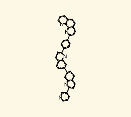 c1cncc(-c2ccc3ccc(-c4ccc5ccc(-c6ccc(-c7ccc8ccc9cccnc9c8n7)cc6)nc5c4)cc3n2)c1